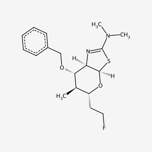 C[C@H]1[C@H](OCc2ccccc2)[C@H]2N=C(N(C)C)S[C@H]2O[C@@H]1CCF